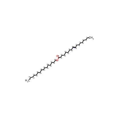 CCCCCCCC/C=C/CCCCCCCC(=O)OCCCCCCCCCCCCCCCC